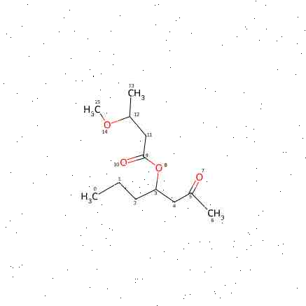 CCCC(CC(C)=O)OC(=O)CC(C)OC